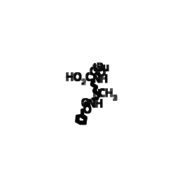 CN(CCCC(NC(=O)OC(C)(C)C)C(=O)O)CCNC(=O)OCc1ccccc1